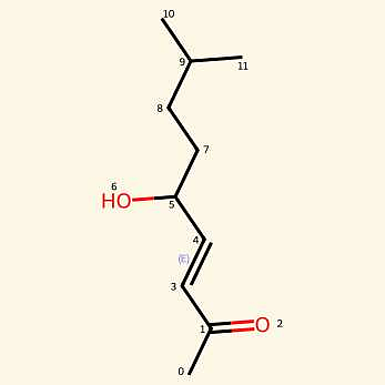 CC(=O)/C=C/C(O)CCC(C)C